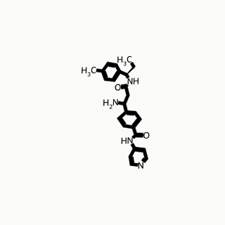 CC[C@@H](NC(=O)CC(N)c1ccc(C(=O)Nc2ccncc2)cc1)c1ccc(C)cc1